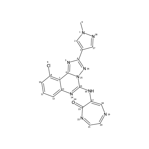 Cn1cc(-c2nc3c4c(Cl)cccc4nc(Nc4cnccnc4=O)n3n2)cn1